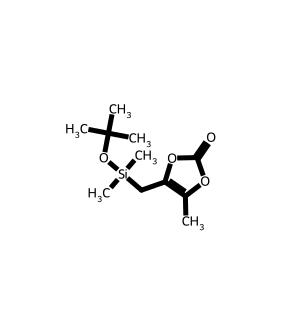 Cc1oc(=O)oc1C[Si](C)(C)OC(C)(C)C